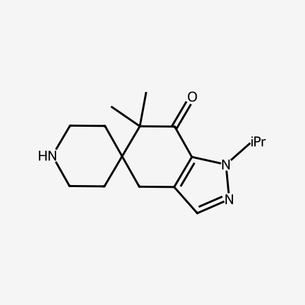 CC(C)n1ncc2c1C(=O)C(C)(C)C1(CCNCC1)C2